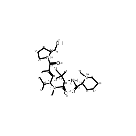 C/C(=C\[C@H](C(C)C)N(C)C(=O)[C@@H](NC(=O)C1CCCCN1C)C(C)(C)C)C(=O)N1CCC[C@H]1CO